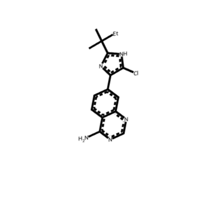 CCC(C)(C)c1nc(-c2ccc3c(N)ncnc3c2)c(Cl)[nH]1